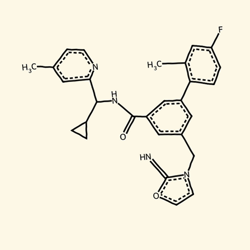 Cc1ccnc(C(NC(=O)c2cc(Cn3ccoc3=N)cc(-c3ccc(F)cc3C)c2)C2CC2)c1